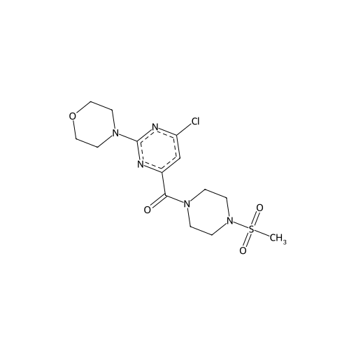 CS(=O)(=O)N1CCN(C(=O)c2cc(Cl)nc(N3CCOCC3)n2)CC1